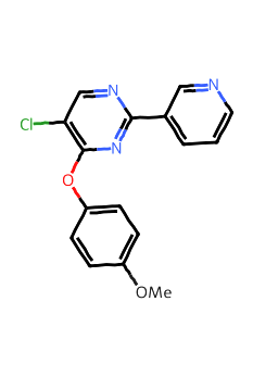 COc1ccc(Oc2nc(-c3cccnc3)ncc2Cl)cc1